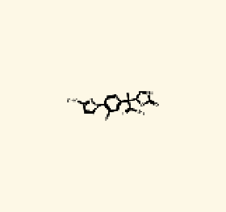 CC(C(N)=O)(c1ccc(-n2ccc(C=O)n2)c(F)c1)C1CNC(=O)O1